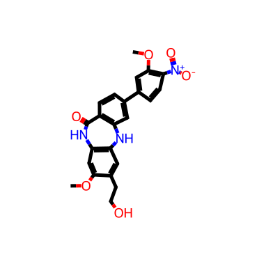 COc1cc2c(cc1CCO)Nc1cc(-c3ccc([N+](=O)[O-])c(OC)c3)ccc1C(=O)N2